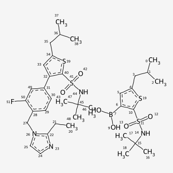 CC(C)Cc1cc(B(O)O)c(S(=O)(=O)NC(C)(C)C)s1.CCc1nccn1Cc1ccc(-c2cc(CC(C)C)sc2S(=O)(=O)NC(C)(C)C)cc1F